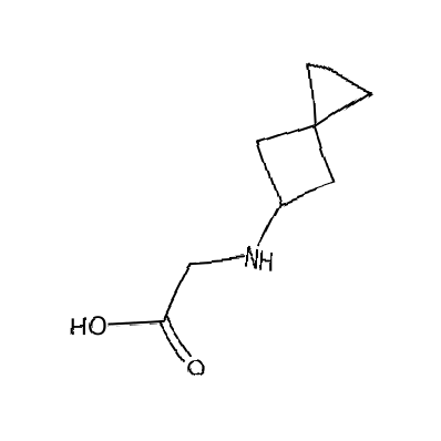 O=C(O)CNC1CC2(CC2)C1